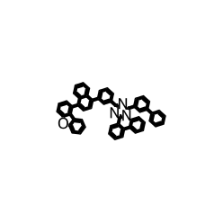 c1ccc(-c2cccc(-c3nc(-c4cccc(-c5ccc(-c6cccc7oc8ccccc8c67)c6ccccc56)c4)nc(-c4ccccc4-c4ccccc4)n3)c2)cc1